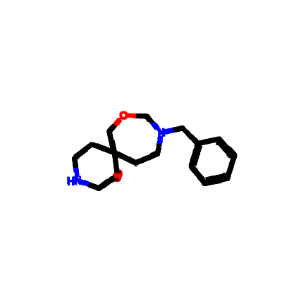 c1ccc(CN2CCC3(CCNCC34OCCO4)COC2)cc1